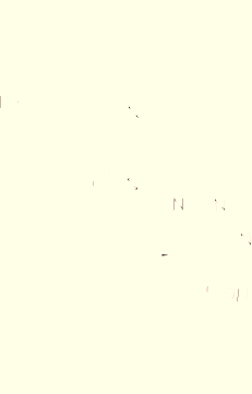 C[C@@H]1C[C@@H](O)c2ncnc(N3CCN(C(=O)C(c4ccc(C(F)(F)F)cc4)C4CCCN4C)CC3)c21